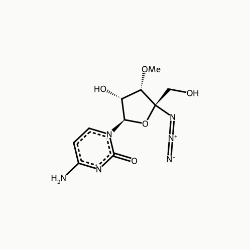 CO[C@H]1[C@@H](O)[C@H](n2ccc(N)nc2=O)O[C@@]1(CO)N=[N+]=[N-]